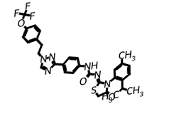 Cc1ccc(C(C)C)c(N2C(=O)CSC2=NC(=O)Nc2ccc(-c3ncn(CCc4ccc(OC(F)(F)F)cc4)n3)cc2)c1